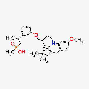 COc1ccc(CCCC(C)(C)C)c(N2CCC(COc3cccc(C(C)CP(C)(=O)O)c3)CC2)c1